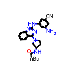 CCCCC(=O)NC1CCN(c2nc(Nc3cc(N)cc(C#N)c3)nc3ccccc23)C1